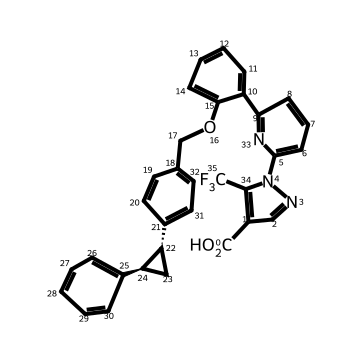 O=C(O)c1cnn(-c2cccc(-c3ccccc3OCc3ccc([C@@H]4C[C@H]4c4ccccc4)cc3)n2)c1C(F)(F)F